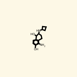 Nc1c(O)ccc2c1CCC(NC1CCC1)C2O